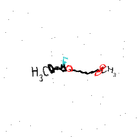 CC(=O)OCCCCCCCCCCOc1ccc(C#Cc2ccc(C)cc2)cc1F